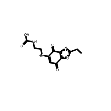 CCc1nc2c(o1)C(=O)C=C(NCCNC(=O)O)C2=O